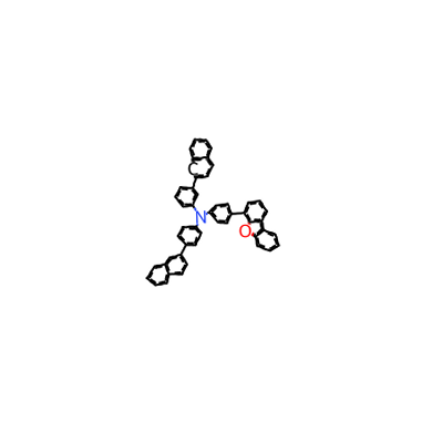 c1cc(-c2ccc3ccccc3c2)cc(N(c2ccc(-c3ccc4ccccc4c3)cc2)c2ccc(-c3cccc4c3oc3ccccc34)cc2)c1